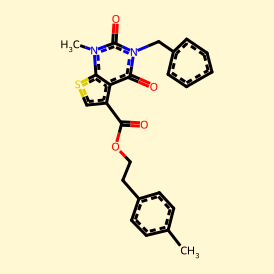 Cc1ccc(CCOC(=O)c2csc3c2c(=O)n(Cc2ccccc2)c(=O)n3C)cc1